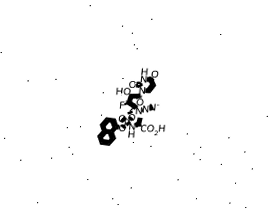 C[C@H](NP(=O)(OC[C@@]1(N=[N+]=[N-])O[C@@H](n2ccc(=O)[nH]c2=O)[C@H](O)[C@@H]1F)Oc1cccc2ccccc12)C(=O)O